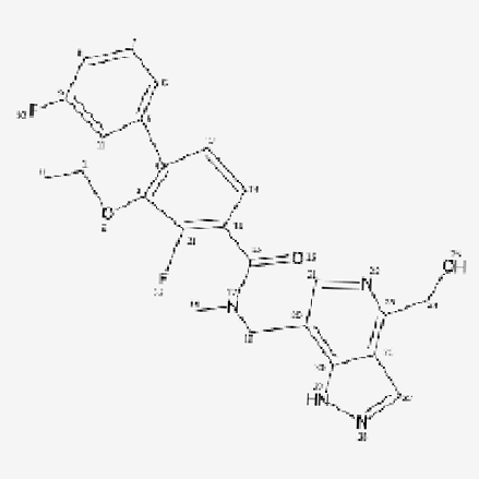 CCOc1c(-c2cccc(F)c2)ccc(C(=O)N(C)Cc2cnc(CO)c3cn[nH]c23)c1F